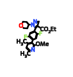 CCOC(=O)c1cnn(C2CCOCC2)c1-c1cc(F)c(-c2c(C)cc(C)nc2OC)cc1F